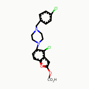 O=C(O)Oc1cc2c(Cl)c(N3CCN(Cc4ccc(Cl)cc4)CC3)ccc2o1